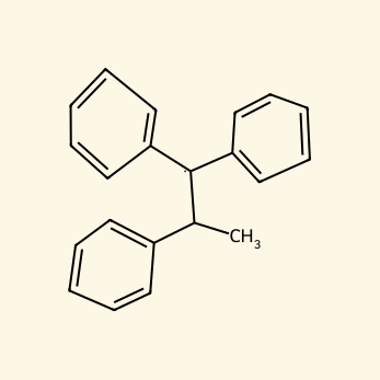 CC([C](c1ccccc1)c1ccccc1)c1ccccc1